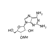 CO[C@H]1[C@@H](O)[C@H](n2cnc3c(N)nc(N)nc32)O[C@@H]1CO